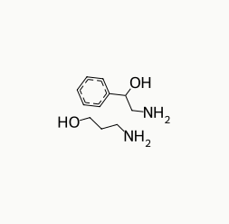 NCC(O)c1ccccc1.NCCCO